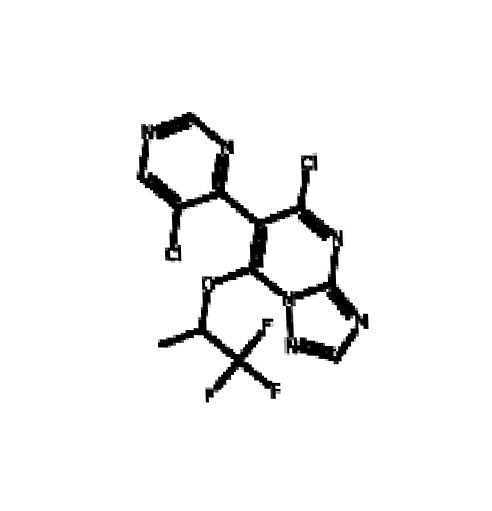 CC(Oc1c(-c2ncncc2Cl)c(Cl)nc2ncnn12)C(F)(F)F